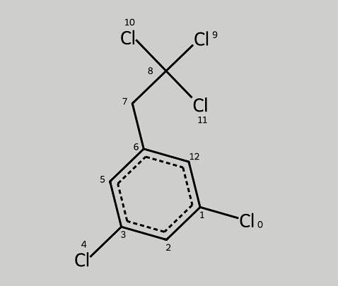 Clc1cc(Cl)cc(CC(Cl)(Cl)Cl)c1